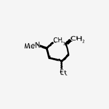 C=CCC(CC)CC(C)NC